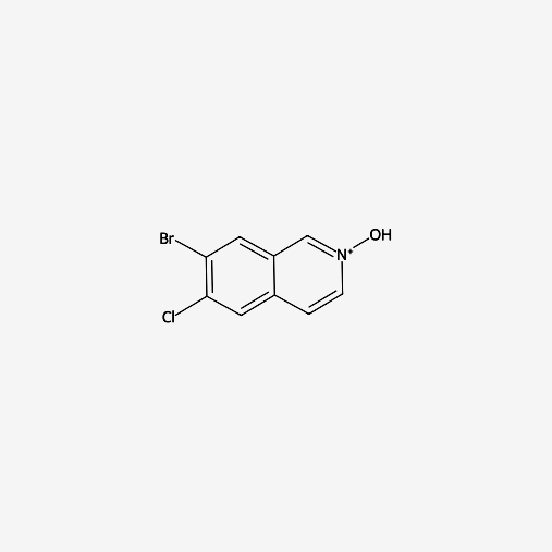 O[n+]1ccc2cc(Cl)c(Br)cc2c1